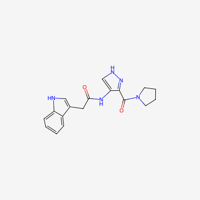 O=C(Cc1c[nH]c2ccccc12)Nc1c[nH]nc1C(=O)N1CCCC1